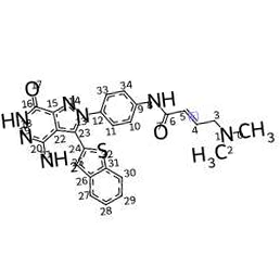 CN(C)C/C=C/C(=O)Nc1ccc(-n2nc3c(=O)[nH]nc(N)c3c2-c2cc3ccccc3s2)cc1